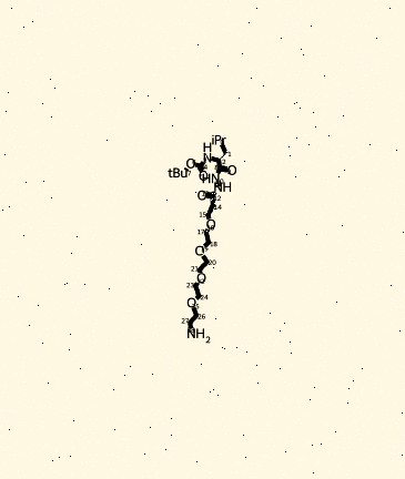 CC(C)C[C@@H](NC(=O)OC(C)(C)C)C(=O)NNC(=O)CCOCCOCCOCCOCCN